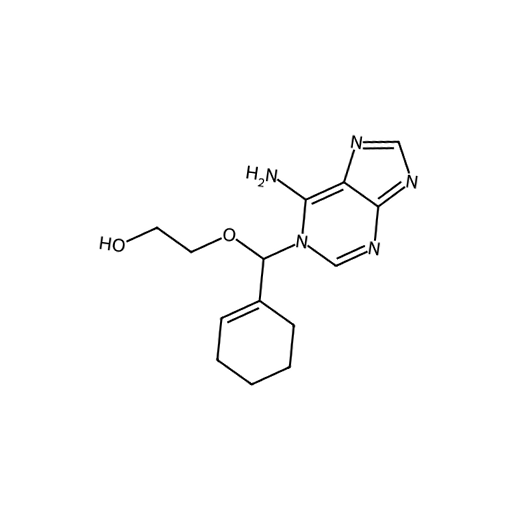 Nc1c2ncnc-2ncn1C(OCCO)C1=CCCCC1